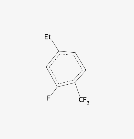 CCc1ccc(C(F)(F)F)c(F)c1